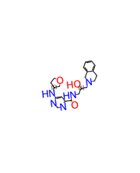 O=C(NC[C@H](O)CN1CCc2ccccc2C1)c1cc(N[C@H]2CCOC2)ncn1